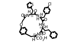 O=C1COc2ccc(cc2)C[C@@H](C(=O)O)NC(=O)[C@H](CCc2ccccc2)NC(=O)[C@@H](Cc2ccc(Cl)cc2)NC(=O)[C@H](Cc2cccs2)N1